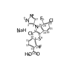 Cn1cc(-n2c(Cl)c(Sc3cccc(C(=O)O)c3F)c3ccc(Cl)c(F)c32)cn1.[NaH]